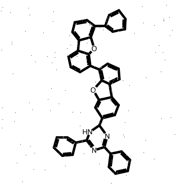 c1ccc(C2=NC(c3ccc4c(c3)oc3c(-c5cccc6c5oc5c(-c7ccccc7)cccc56)cccc34)NC(c3ccccc3)=N2)cc1